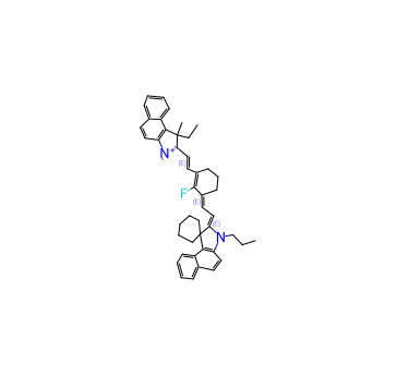 CCCN1/C(=C/C=C2\CCCC(/C=C/C3=[N+](C)c4ccc5ccccc5c4C3(C)CC)=C2F)C2(CCCCC2)c2c1ccc1ccccc21